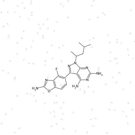 CC(C)CC(C)n1nc(-c2ccc3oc(N)nc3c2F)c2c(N)nc(N)nc21